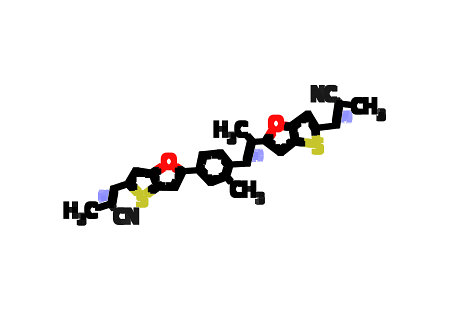 C/C(C#N)=C/c1cc2oc(/C(C)=C/c3ccc(-c4cc5sc(/C=C(/C)C#N)cc5o4)cc3C)cc2s1